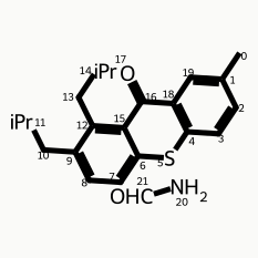 Cc1ccc2sc3ccc(CC(C)C)c(CC(C)C)c3c(=O)c2c1.NC=O